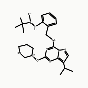 CC(C)c1cnn2c(NCc3ccccc3N[S+]([O-])C(C)(C)C)nc(O[C@@H]3CCCNC3)nc12